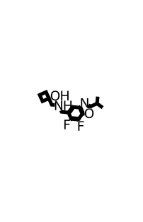 CC(C)c1nc2cc(CNCC3(O)CCC3)c(F)c(F)c2o1